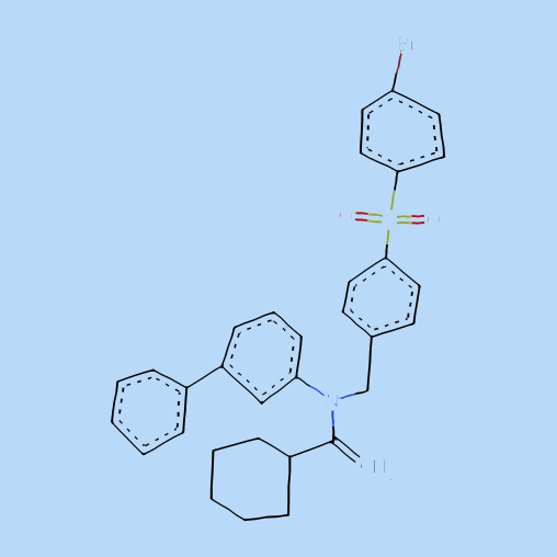 C=C(C1CCCCC1)N(Cc1ccc(S(=O)(=O)c2ccc(Br)cc2)cc1)c1cccc(-c2ccccc2)c1